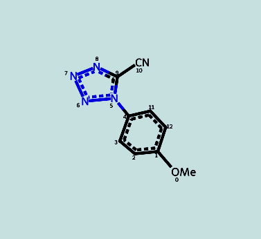 COc1ccc(-n2nnnc2C#N)cc1